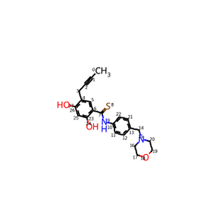 CC#CCc1cc(C(=S)Nc2ccc(CN3CCOCC3)cc2)c(O)cc1O